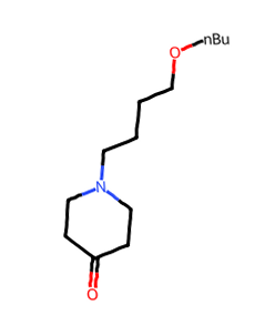 CCCCOCCCCN1CCC(=O)CC1